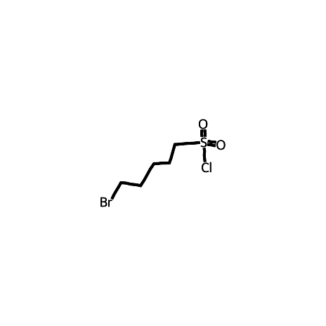 O=S(=O)(Cl)CCCCCBr